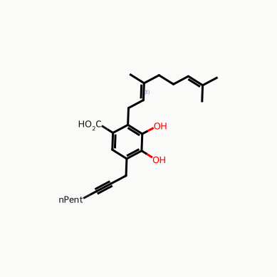 CCCCCC#CCc1cc(C(=O)O)c(C/C=C(\C)CCC=C(C)C)c(O)c1O